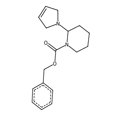 O=C(OCc1ccccc1)N1CCCCC1N1CC=CC1